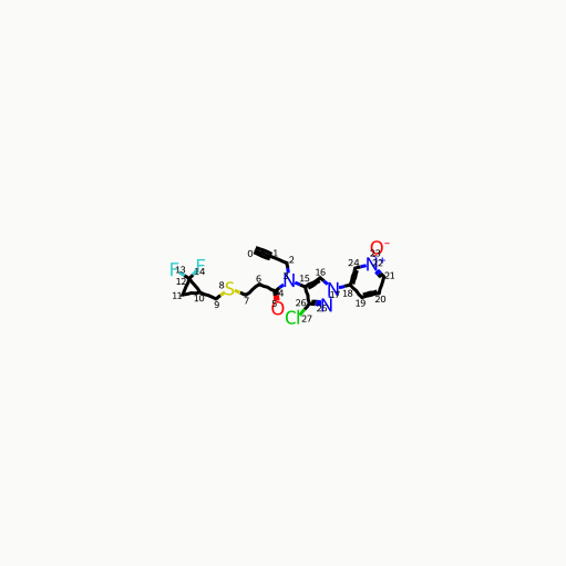 C#CCN(C(=O)CCSCC1CC1(F)F)c1cn(-c2ccc[n+]([O-])c2)nc1Cl